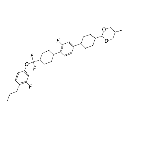 CCCc1ccc(OC(F)(F)C2CCC(c3ccc(C4CCC(C5OCC(C)CO5)CC4)cc3F)CC2)cc1F